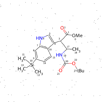 COC(=O)C(c1c[nH]c2cc([Si](C)(C)C)ccc12)C(C)NC(=O)OC(C)(C)C